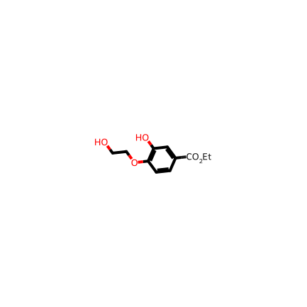 CCOC(=O)c1ccc(OCCO)c(O)c1